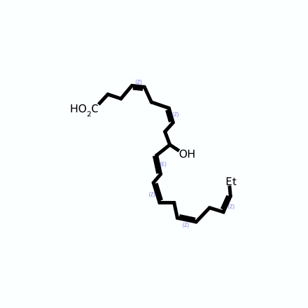 CC/C=C\C/C=C\C/C=C\C=C\C(O)C/C=C\C/C=C\CCC(=O)O